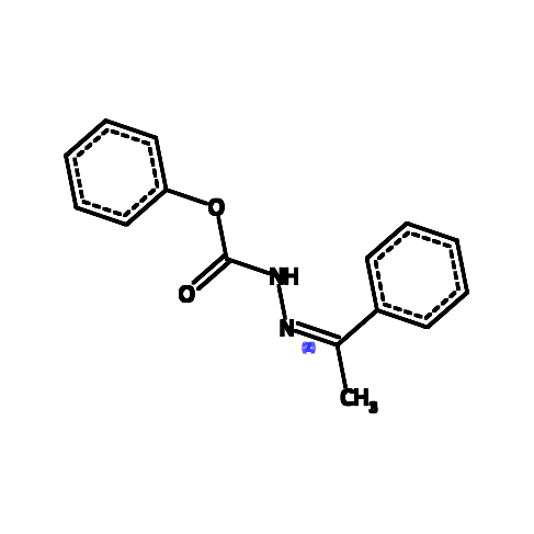 C/C(=N/NC(=O)Oc1ccccc1)c1ccccc1